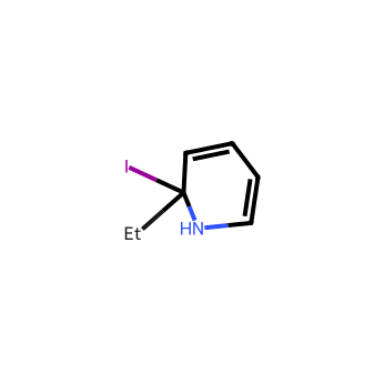 [CH2]CC1(I)C=CC=CN1